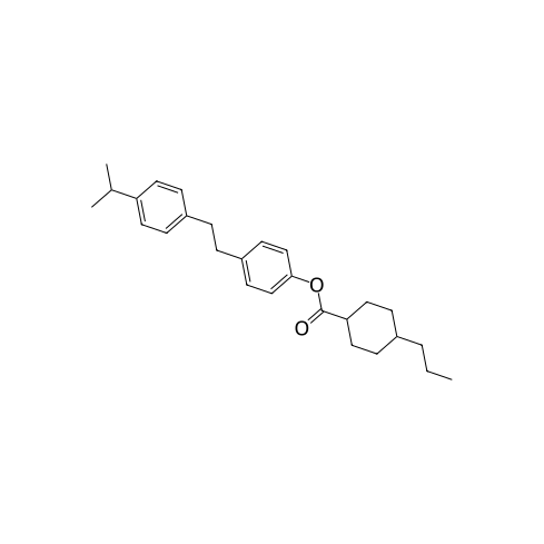 CCCC1CCC(C(=O)Oc2ccc(CCc3ccc(C(C)C)cc3)cc2)CC1